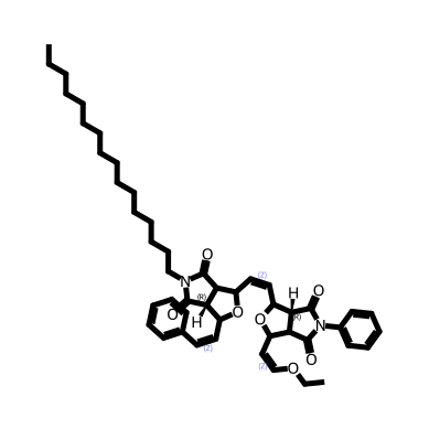 CCCCCCCCCCCCCCCCN1C(=O)C2C(/C=C\C3OC(/C=C\OCC)C4C(=O)N(c5ccccc5)C(=O)[C@@H]34)OC(/C=C\c3ccccc3)[C@@H]2C1=O